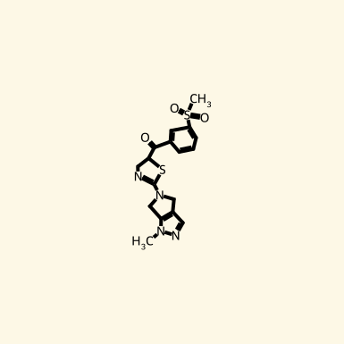 Cn1ncc2c1CN(C1=NCC(C(=O)c3cccc(S(C)(=O)=O)c3)S1)C2